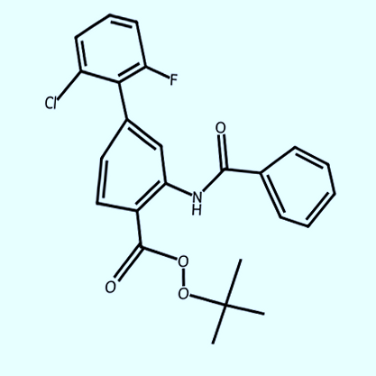 CC(C)(C)OOC(=O)c1ccc(-c2c(F)cccc2Cl)cc1NC(=O)c1ccccc1